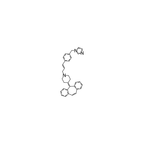 C(=Cc1ccc(Cn2ccnc2)cc1)CN1CCC(=C2c3ccccc3C=Cc3ccccc32)CC1